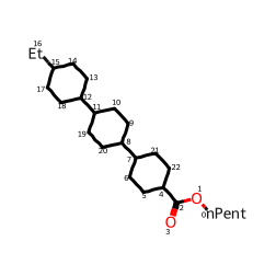 CCCCCOC(=O)C1CCC(C2CCC(C3CCC(CC)CC3)CC2)CC1